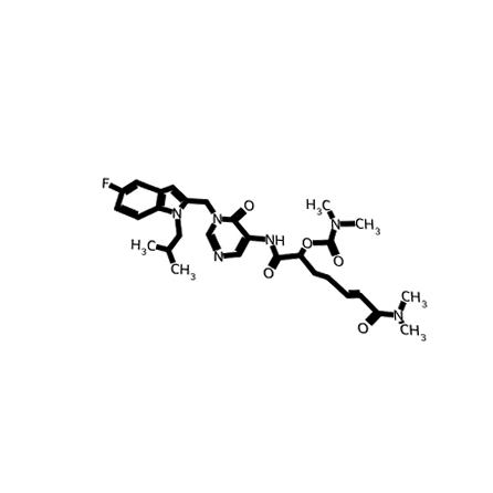 CC(C)Cn1c(Cn2cncc(NC(=O)C(CCC=CC(=O)N(C)C)OC(=O)N(C)C)c2=O)cc2cc(F)ccc21